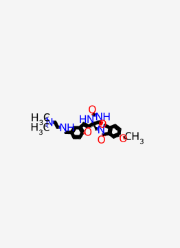 COc1ccc2c(c1)C(=O)N(C[C@@]1(c3cc4cc(CNCCN(C)C)ccc4o3)NC(=O)NC1=O)C2